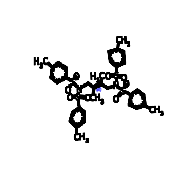 C/C(CN(S(=O)(=O)c1ccc(C)cc1)S(=O)(=O)c1ccc(C)cc1)=C(/C)CN(S(=O)(=O)c1ccc(C)cc1)S(=O)(=O)c1ccc(C)cc1